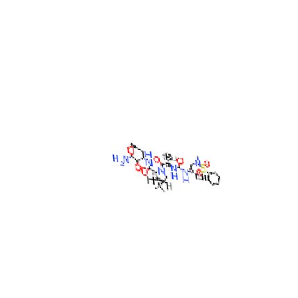 C#CCC(NC(=O)[C@@H]1[C@@H]2[C@H](CN1C(=O)[C@@H](NC(=O)N[C@H](CN(C)S(=O)(=O)c1ccccc1)C(C)(C)C)C(C)(C)C)C2(C)C)C(=O)C(N)=O